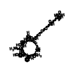 C[C@H](O)[C@@H]1NC(=O)[C@H](CCCCN)NC(=O)[C@H](Cc2ccc(O)cc2)NC(=O)[C@H](Cc2ccccc2)NC(=O)[C@@H](N)Cc2cn(nn2)CCCC[C@@H](C(=O)NCCCOCCOCCOCCCNC(=O)CCCCC2SC[C@H]3NC(=O)N[C@@H]23)NC(=O)[C@H](Cc2c[nH]cn2)NC1=O